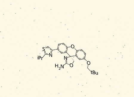 CC(C)c1nc(-c2ccc3c(c2)[C@@]2(COC(N)=N2)c2cc(OCC(C)(C)C)ccc2O3)cs1